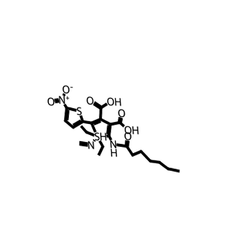 C=N[SH]1(CC)(CC)C(NC(=O)CCCCCC)=C(C(=O)O)C(C(=O)O)=C1c1ccc([N+](=O)[O-])s1